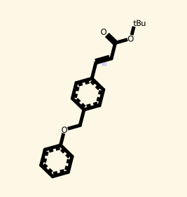 CC(C)(C)OC(=O)/C=C/c1ccc(COc2ccccc2)cc1